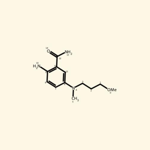 COCCCN(C)c1ccc(N)c(C(N)=O)c1